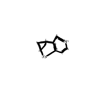 c1cc2c(cn1)C1CC1O2